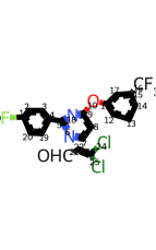 Fc1ccc(-c2nccc(Oc3cccc(C(F)(F)F)c3)n2)cc1.O=CC=C(Cl)Cl